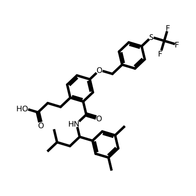 Cc1cc(C)cc(C(CC(C)C)NC(=O)c2cc(OCc3ccc(SC(F)(F)F)cc3)ccc2CCC(=O)O)c1